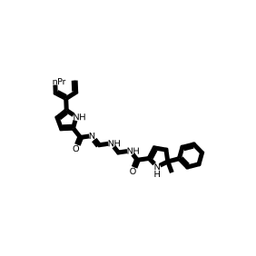 C=C/C(=C\CCC)c1ccc(C(=O)/N=C/NCNC(=O)C2=CCC(C)(C3=CCCC=C3)N2)[nH]1